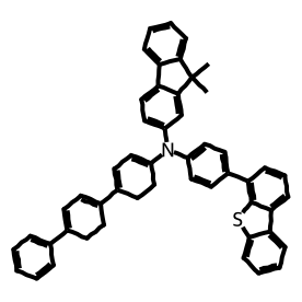 CC1(C)c2ccccc2-c2ccc(N(C3=CC=C(C4=CC=C(c5ccccc5)CC4)CC3)c3ccc(-c4cccc5c4sc4ccccc45)cc3)cc21